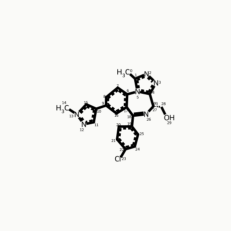 Cc1nnc2n1-c1ccc(-c3cnn(C)c3)cc1C(c1ccc(Cl)cc1)=N[C@H]2CO